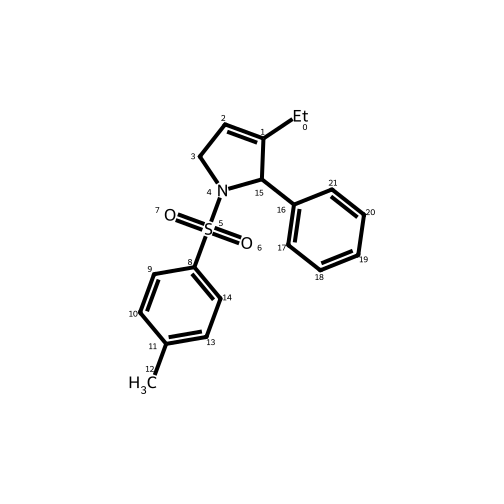 CCC1=CCN(S(=O)(=O)c2ccc(C)cc2)C1c1ccccc1